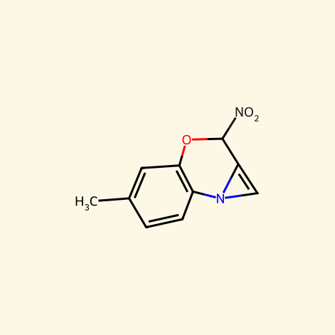 Cc1ccc2c(c1)OC([N+](=O)[O-])C1=CN12